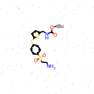 CC(C)(C)OC(=O)NCc1ccc(Sc2ccc(S(=O)(=O)CCN)cc2)s1